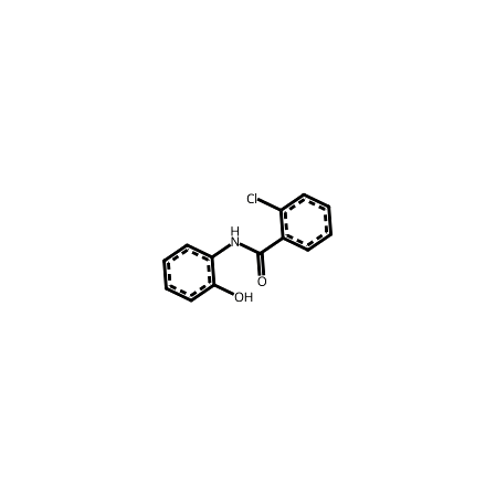 O=C(Nc1ccccc1O)c1ccccc1Cl